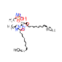 CCCCCCCC/C=C\CCCCCCCC(=O)NC(C)N1CC(C)N=C1C(=O)CCCCCCC/C=C\CCCCCCCC.COS(=O)(=O)O.N